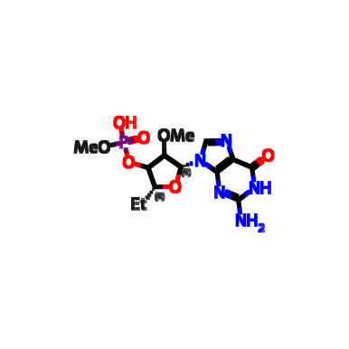 CC[C@H]1O[C@@H](n2cnc3c(=O)[nH]c(N)nc32)C(OC)C1OP(=O)(O)OC